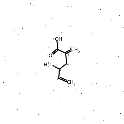 C=CC(C)CC(=C)C(=O)O